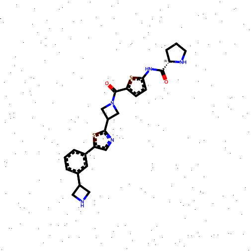 O=C(Nc1ccc(C(=O)N2CC(c3ncc(-c4cccc(C5CNC5)c4)s3)C2)s1)[C@@H]1CCCN1